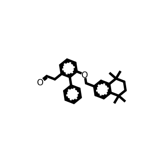 CC1(C)CCC(C)(C)c2cc(COc3cccc(CC=O)c3-c3ccccc3)ccc21